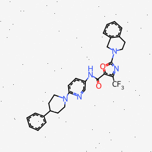 O=C(Nc1ccc(N2CCC(c3ccccc3)CC2)nc1)c1oc(N2CCc3ccccc3C2)nc1C(F)(F)F